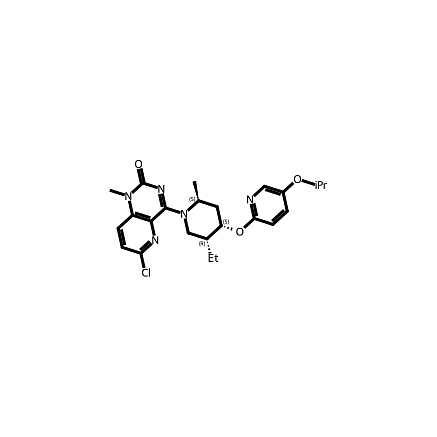 CC[C@@H]1CN(c2nc(=O)n(C)c3ccc(Cl)nc23)[C@@H](C)C[C@@H]1Oc1ccc(OC(C)C)cn1